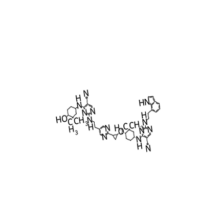 CC1(C)C[C@H](Nc2nc(NCCc3cccc4cc[nH]c34)ncc2C#N)CC[C@@H]1OC1CC1c1ncc(CCNc2ncc(C#N)c(N[C@@H]3CC[C@H](O)C(C)(C)C3)n2)cn1